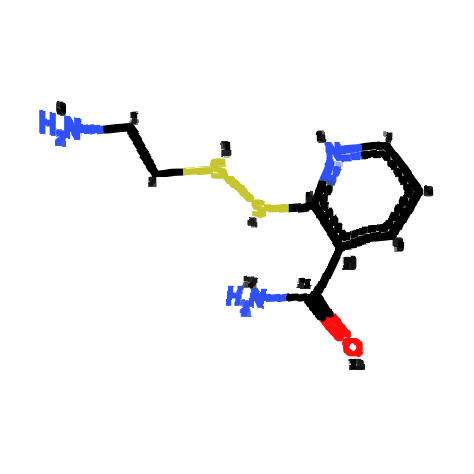 NCCSSc1ncccc1C(N)=O